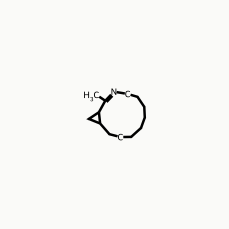 C/C1=N/CCCCCCCCC2CC12